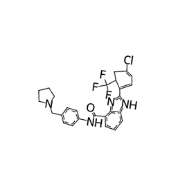 O=C(Nc1ccc(CN2CCCC2)cc1)c1cccc2[nH]c(C3=CC=C(Cl)CC3C(F)(F)F)nc12